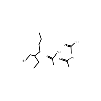 CC(=O)O.CC(=O)O.CC(=O)O.CCCCC(CC)[CH2][Sn]